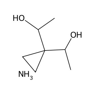 CC(O)C1(C(C)O)CC1.N